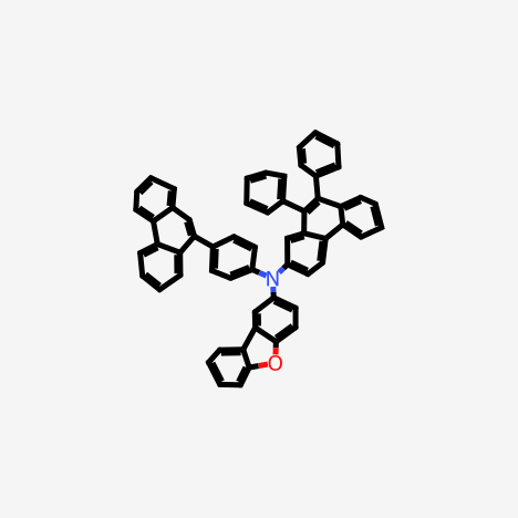 c1ccc(-c2c(-c3ccccc3)c3cc(N(c4ccc(-c5cc6ccccc6c6ccccc56)cc4)c4ccc5oc6ccccc6c5c4)ccc3c3ccccc23)cc1